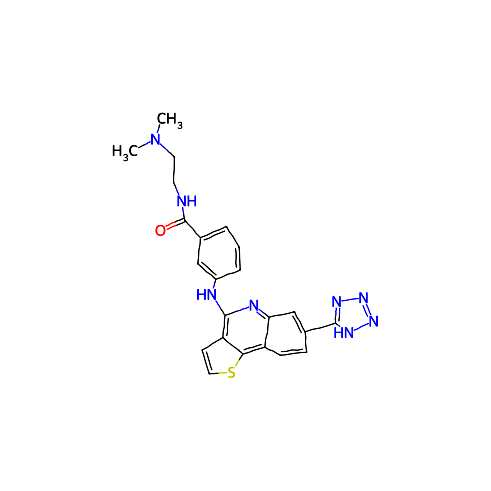 CN(C)CCNC(=O)c1cccc(Nc2nc3cc(-c4nnn[nH]4)ccc3c3sccc23)c1